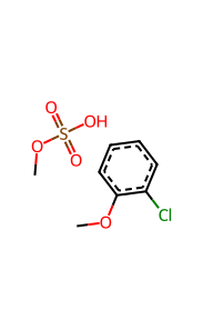 COS(=O)(=O)O.COc1ccccc1Cl